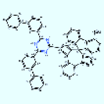 CC(C)(C)c1cccc2c1-c1ccccc1C21c2ccccc2-c2ccccc2-c2cc(-c3nc(-c4cccc(-c5ccccc5)c4)nc(-c4cccc(-c5ccccc5)c4)n3)ccc21